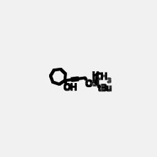 C[SiH](OCC#CC1(O)CCCCCC1)C(C)(C)C